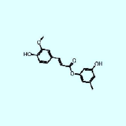 COc1cc(/C=C/C(=O)Oc2cc(C)cc(O)c2)ccc1O